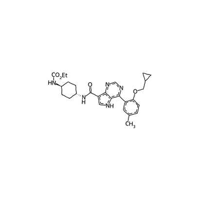 CCOC(=O)N[C@H]1CC[C@H](NC(=O)c2c[nH]c3c(-c4cc(C)ccc4OCC4CC4)ncnc23)CC1